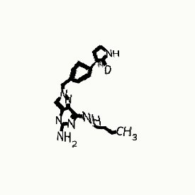 CCCCNc1nc(N)nc2cn(Cc3ccc([C@H]4CCNC4=O)cc3)nc12